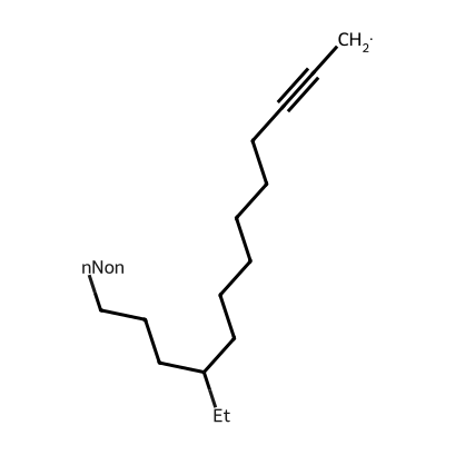 [CH2]C#CCCCCCCC(CC)CCCCCCCCCCC[CH2]